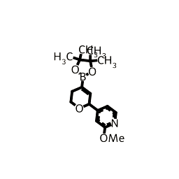 COc1cc(C2C=C(B3OC(C)(C)C(C)(C)O3)CCO2)ccn1